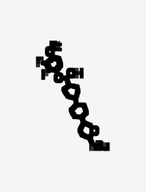 CCCCC1CCC(C2CCC(C3CCC(C(O)Oc4ccc(OCC)c(F)c4F)CC3)CC2)CO1